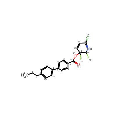 CCCc1ccc(-c2ccc(C(=O)OC3(F)C=CC(Cl)=NC3F)cc2)cc1